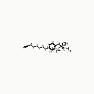 [C]#CCCCCCCc1ccc(CC(C)(C)C)cc1